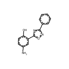 Nc1ccc(O)c(-c2nc(-c3ccccc3)no2)c1